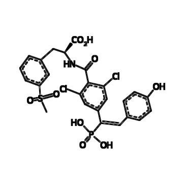 CS(=O)(=O)c1cccc(C[C@H](NC(=O)c2c(Cl)cc(/C(=C\c3ccc(O)cc3)P(=O)(O)O)cc2Cl)C(=O)O)c1